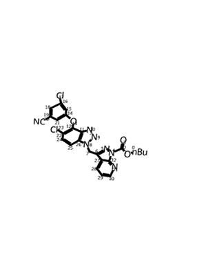 CCCCOC(=O)n1nc(Cn2nnc3c(Oc4cc(Cl)cc(C#N)c4)c(Cl)ccc32)c2cccnc21